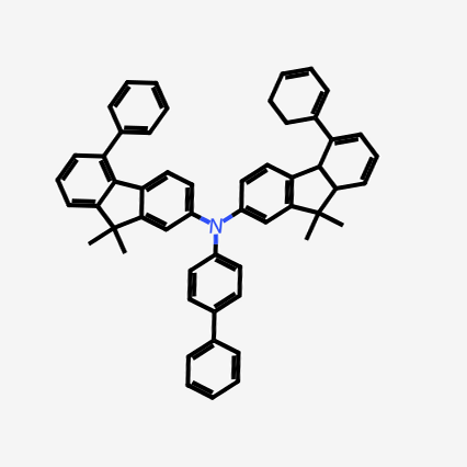 CC1(C)c2cc(N(c3ccc(-c4ccccc4)cc3)c3ccc4c(c3)C(C)(C)C3C=CC=C(C5=CC=CCC5)C43)ccc2-c2c(-c3ccccc3)cccc21